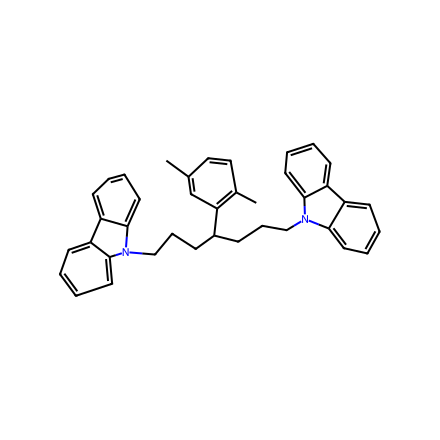 Cc1ccc(C)c(C(CCCn2c3ccccc3c3ccccc32)CCCn2c3ccccc3c3ccccc32)c1